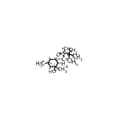 C[C@H]1C[C@H](O[Si](C)(C)C(C)(C)C)C[C@](C)(O)C1